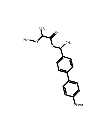 CCCCCCOC(C)C(=O)OC(C)c1ccc(-c2ccc(CCCCC)cc2)cc1